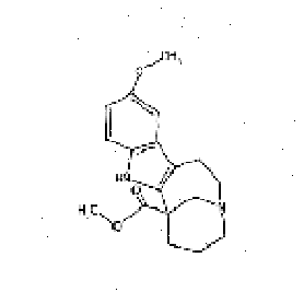 COC(=O)C12CCCN(CCc3c1[nH]c1ccc(OC)cc31)C2